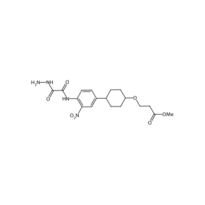 COC(=O)CCOC1CCC(c2ccc(NC(=O)C(=O)NN)c([N+](=O)[O-])c2)CC1